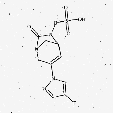 O=C1N2CC(n3cc(F)cn3)=CC(C2)N1OS(=O)(=O)O